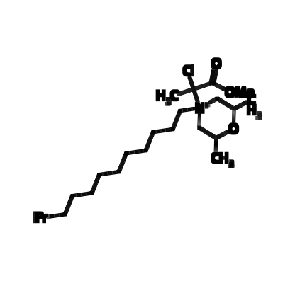 COC(=O)C(C)(Cl)[N+]1(CCCCCCCCCCC(C)C)CC(C)OC(C)C1